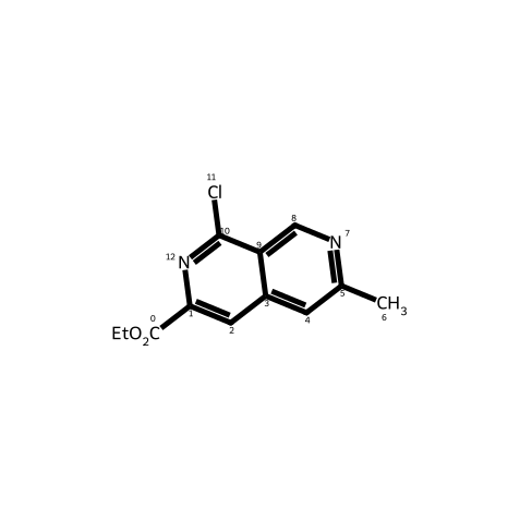 CCOC(=O)c1cc2cc(C)ncc2c(Cl)n1